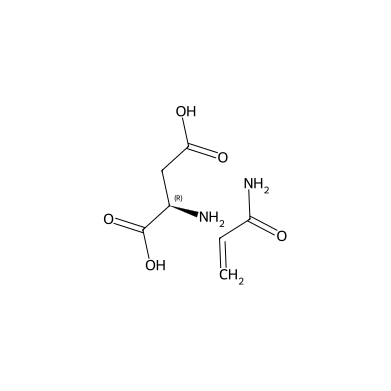 C=CC(N)=O.N[C@H](CC(=O)O)C(=O)O